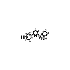 c1cc(-c2c[nH]c3ccccc23)nc(N2CCCNCC2)c1